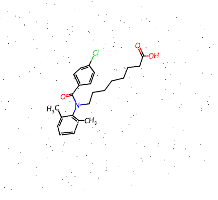 Cc1cccc(C)c1N(CCCCCCCC(=O)O)C(=O)c1ccc(Cl)cc1